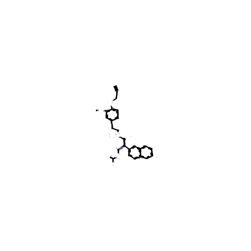 C#CCOc1ccc(CCNC(=O)/C(=C/OC(F)F)c2ccc3ccccc3c2)cc1OC